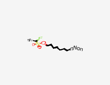 CCCCCCCCCCCCCCCCOS(=O)(=O)C(F)CCC